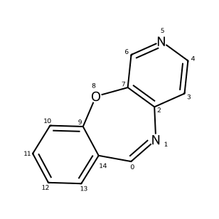 C1=Nc2ccncc2Oc2ccccc21